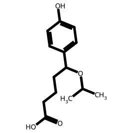 CC(C)OC(CCCC(=O)O)c1ccc(O)cc1